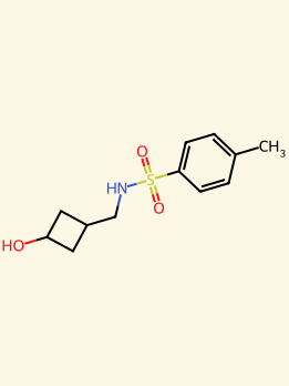 Cc1ccc(S(=O)(=O)NCC2CC(O)C2)cc1